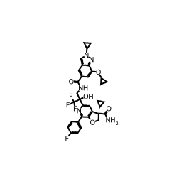 NC(=O)[C@@]1(C2CC2)COc2c1cc(C(O)(CNC(=O)c1cc(OC3CC3)c3nn(C4CC4)cc3c1)C(F)(F)F)nc2-c1ccc(F)cc1